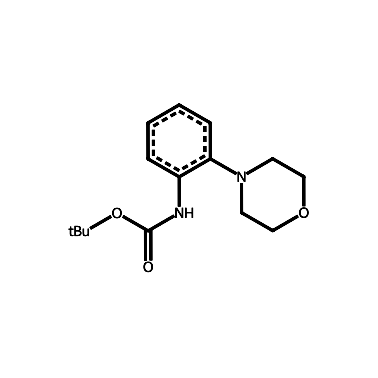 CC(C)(C)OC(=O)Nc1ccccc1N1CCOCC1